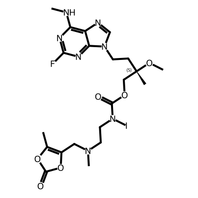 CNc1nc(F)nc2c1ncn2CC[C@@](C)(COC(=O)N(I)CCN(C)Cc1oc(=O)oc1C)OC